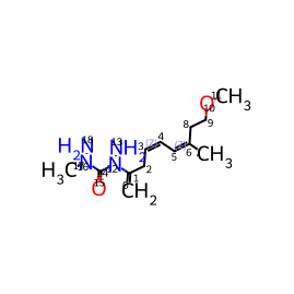 C=C(C/C=C\C=C(\C)CCOC)N(N)C(=O)N(C)N